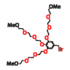 COCCOCCOCCOc1cc(CBr)cc(OCCOCCOCCOC)c1OCCOCCOCCOC